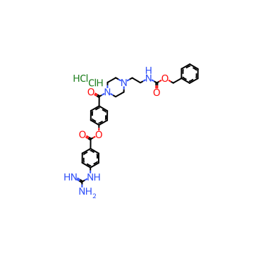 Cl.Cl.N=C(N)Nc1ccc(C(=O)Oc2ccc(C(=O)N3CCN(CCNC(=O)OCc4ccccc4)CC3)cc2)cc1